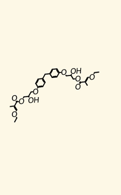 CCOC=C(C)C(=O)OCC(O)COc1ccc(Cc2ccc(OCC(O)COC(=O)C(C)=COCC)cc2)cc1